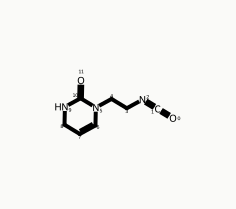 O=C=NCCN1C=CCNC1=O